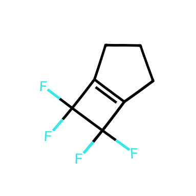 FC1(F)C2=C(CCC2)C1(F)F